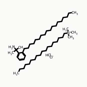 CCCCCCCCCCCCCCCCCC[N+](C)(C)C.CCCCCCCCCCCCCCCCCCc1ccccc1C(C)(C)N.Cl.[Cl-]